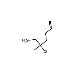 C=CCCC(C)(Cl)C[SiH3]